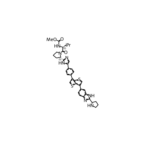 COC(=O)N[C@H](C(=O)N1CCC[C@H]1c1ncc(-c2ccc(-c3csc4c(-c5ccc6nc(C7CCCN7)[nH]c6c5)csc34)cc2)[nH]1)C(C)C